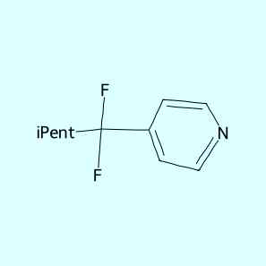 CCCC(C)C(F)(F)c1ccncc1